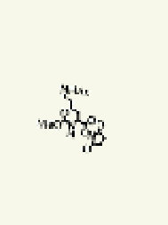 COC(=O)NC(CCCCNC(C)=O)C(=O)ON1C(=O)CCC1=O